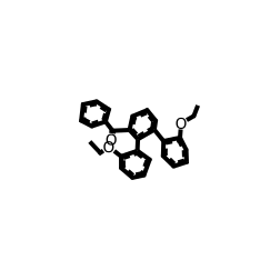 CCOc1ccccc1-c1cccc(C(=O)c2ccccc2)c1-c1ccccc1OCC